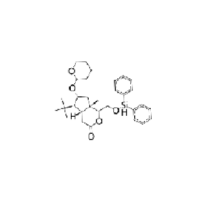 CC(C)(C)[C@@H]1[C@H]2CC(=O)OC(CO[SiH](c3ccccc3)c3ccccc3)[C@@]2(C)C[C@H]1OC1CCCCO1